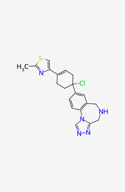 Cc1nc(C2=CCC(Cl)(c3ccc4c(c3)CNCc3nncn3-4)CC2)cs1